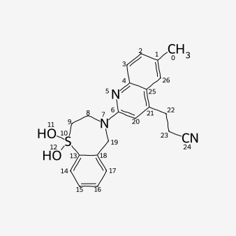 Cc1ccc2nc(N3CCS(O)(O)c4ccccc4C3)cc(CCC#N)c2c1